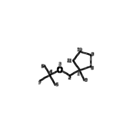 CC1(COC(C)(C)C)CCCC1